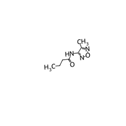 CCCC(=O)Nc1nonc1C